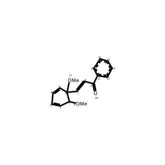 COC1C=CC=CC1(C=CC(=O)c1ccccc1)OC